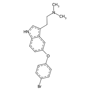 CN(C)CCc1c[nH]c2ccc(Oc3ccc(Br)cc3)cc12